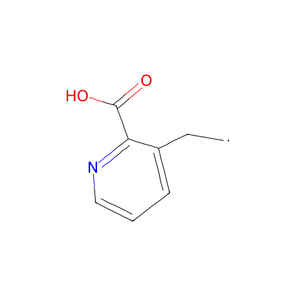 [CH2]Cc1cccnc1C(=O)O